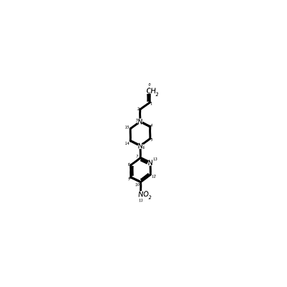 C=CCN1CCN(c2ccc([N+](=O)[O-])cn2)CC1